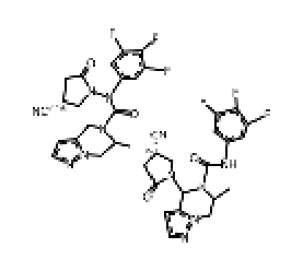 CC1Cn2nccc2C(N2C[C@@H](C#N)CC2=O)N1C(=O)Nc1cc(F)c(F)c(F)c1.CC1Cn2nccc2CN1C(=O)N(c1cc(F)c(F)c(F)c1)N1C[C@H](C#N)CC1=O